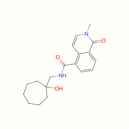 Cn1ccc2c(C(=O)NCC3(O)CCCCCC3)cccc2c1=O